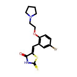 O=C1NC(=S)S/C1=C\c1cc(Br)ccc1OCCN1CCCC1